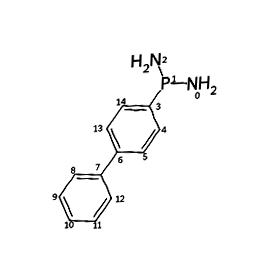 NP(N)c1ccc(-c2ccccc2)cc1